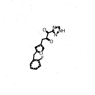 O=C(Cc1coc(Cc2ccccc2F)c1)C(=O)c1nc[nH]n1